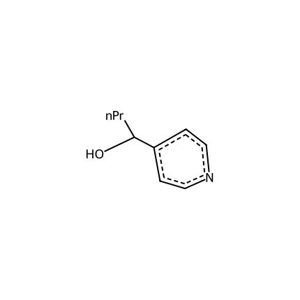 CCCC(O)c1ccncc1